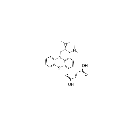 CN(C)CC(CN1c2ccccc2Sc2ccccc21)N(C)C.O=C(O)C=CC(=O)O